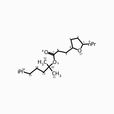 CCCC1CCC(CCC(=O)OC(C)(C)CCCC(C)C)O1